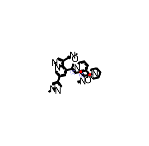 C=N/C(=C\C=C(/C)c1cc(-c2cnn(C)c2)cn2ncc(C#N)c12)N1CC2CC(C1)N2C(=O)c1ccc(OC)nc1